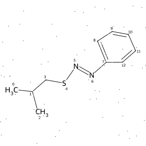 CC(C)CS/N=N/c1ccccc1